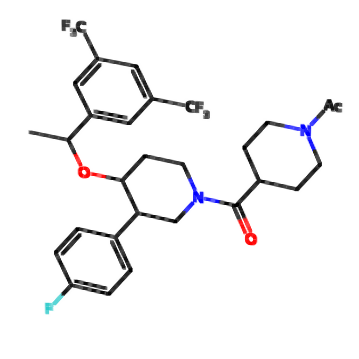 CC(=O)N1CCC(C(=O)N2CCC(OC(C)c3cc(C(F)(F)F)cc(C(F)(F)F)c3)C(c3ccc(F)cc3)C2)CC1